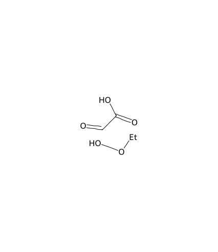 CCOO.O=CC(=O)O